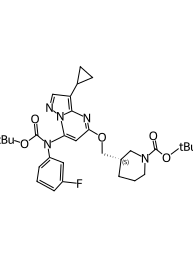 CC(C)(C)OC(=O)N1CCC[C@H](COc2cc(N(C(=O)OC(C)(C)C)c3cccc(F)c3)n3ncc(C4CC4)c3n2)C1